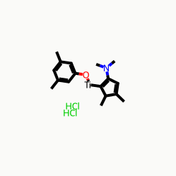 CC1=CC(N(C)C)=[C]([Ti][O]c2cc(C)cc(C)c2)C1C.Cl.Cl